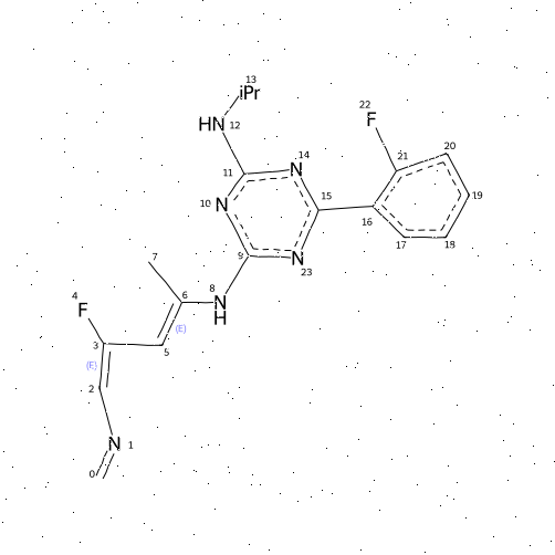 C=N/C=C(F)\C=C(/C)Nc1nc(NC(C)C)nc(-c2ccccc2F)n1